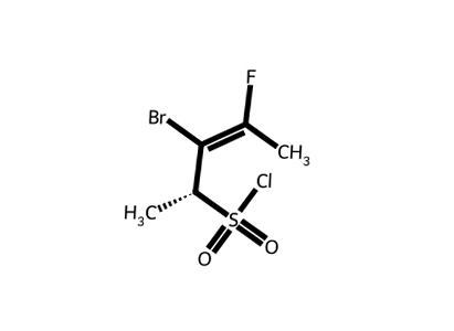 C/C(F)=C(/Br)[C@@H](C)S(=O)(=O)Cl